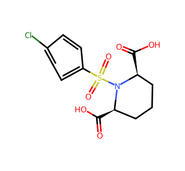 O=C(O)[C@H]1CCC[C@@H](C(=O)O)N1S(=O)(=O)c1ccc(Cl)cc1